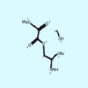 CCCCCCC(CCCC)COC(=O)C(=O)OC.CO